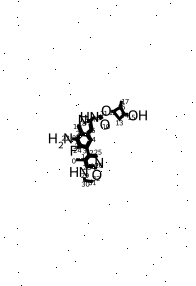 Cc1c(-c2cc3cc(NC(=O)OC4CC(O)C4C)ncc3c(N)c2F)cnc2c1NCCO2